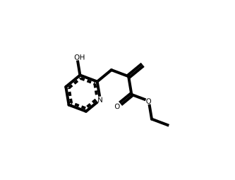 C=C(Cc1ncccc1O)C(=O)OCC